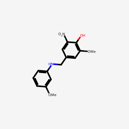 COc1cccc(NCc2cc(OC)c(O)c([N+](=O)[O-])c2)c1